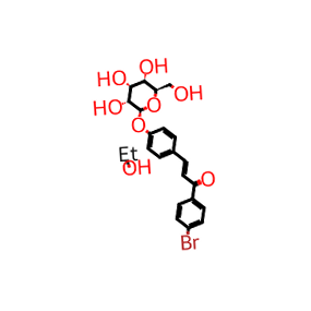 CCO.O=C(/C=C/c1ccc(O[C@@H]2O[C@H](CO)[C@@H](O)[C@@H](O)[C@H]2O)cc1)c1ccc(Br)cc1